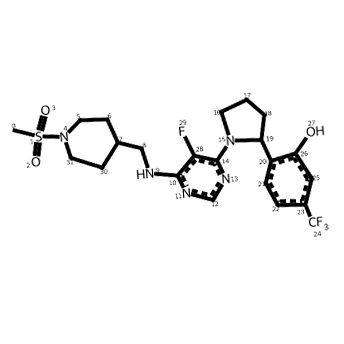 CS(=O)(=O)N1CCC(CNc2ncnc(N3CCCC3c3ccc(C(F)(F)F)cc3O)c2F)CC1